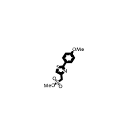 COc1ccc(-c2nc(CS(=O)(=O)OC)cs2)cc1